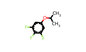 CC(C)Oc1cc(F)c(F)c(F)c1